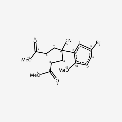 COC(=O)CCC(C#N)(CCC(=O)OC)c1cc(Br)ccc1OC